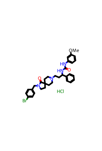 COc1cccc(NC(=O)NC(CCN2CCC3(CC2)CCN(Cc2ccc(Br)cc2)C3=O)c2ccccc2)c1.Cl